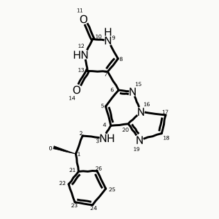 C[C@@H](CNc1cc(-c2c[nH]c(=O)[nH]c2=O)nn2ccnc12)c1ccccc1